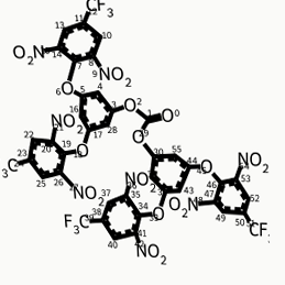 O=C(Oc1cc(Oc2c([N+](=O)[O-])cc(C(F)(F)F)cc2[N+](=O)[O-])cc(Oc2c([N+](=O)[O-])cc(C(F)(F)F)cc2[N+](=O)[O-])c1)Oc1cc(Oc2c([N+](=O)[O-])cc(C(F)(F)F)cc2[N+](=O)[O-])cc(Oc2c([N+](=O)[O-])cc(C(F)(F)F)cc2[N+](=O)[O-])c1